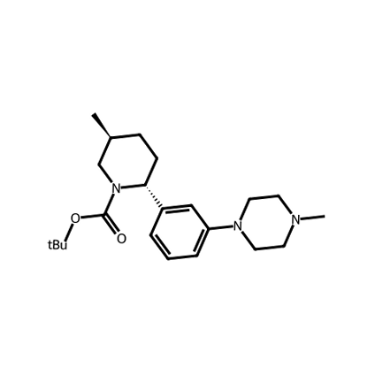 C[C@H]1CC[C@H](c2cccc(N3CCN(C)CC3)c2)N(C(=O)OC(C)(C)C)C1